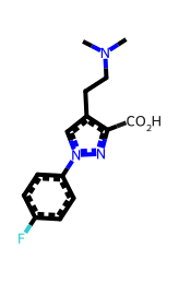 CN(C)CCc1cn(-c2ccc(F)cc2)nc1C(=O)O